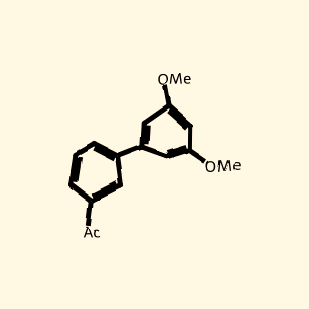 COc1cc(OC)cc(-c2cccc(C(C)=O)c2)c1